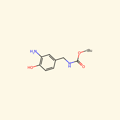 CC(C)(C)OC(=O)NCc1ccc(O)c(N)c1